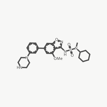 COc1cc(-c2cccc(N3CCNCC3)c2)cc2onc(NS(=O)(=O)N(C)C3CCCCC3)c12